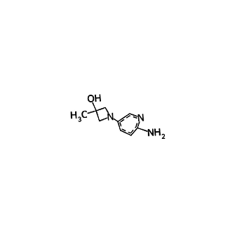 CC1(O)CN(c2ccc(N)nc2)C1